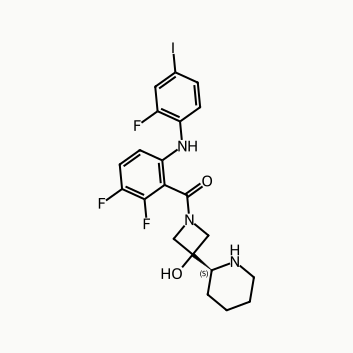 O=C(c1c(Nc2ccc(I)cc2F)ccc(F)c1F)N1CC(O)([C@@H]2CCCCN2)C1